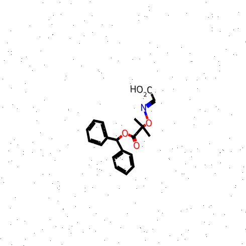 CC(C)(O/N=C/C(=O)O)C(=O)OC(c1ccccc1)c1ccccc1